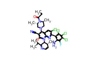 C=CC(=O)N1[C@H](C)CN(c2c(C#N)c(=O)n(C3C(C(C)C)=NC=C[C@H]3C)c3nc(-c4c(N)c(F)c(Cl)c(Cl)c4Cl)c(Cl)cc23)C[C@@H]1C